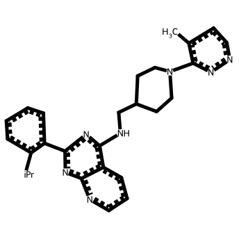 Cc1ccnnc1N1CCC(CNc2nc(-c3ccccc3C(C)C)nc3ncccc23)CC1